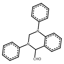 O=CC1c2ccccc2N(c2ccccc2)CN1c1ccccc1